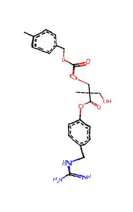 Cc1ccc(COC(=O)OCC(C)(CO)C(=O)Oc2ccc(CNC(=N)N)cc2)cc1